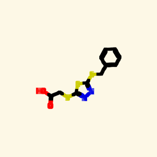 O=C(O)CSc1nnc(SCc2ccccc2)s1